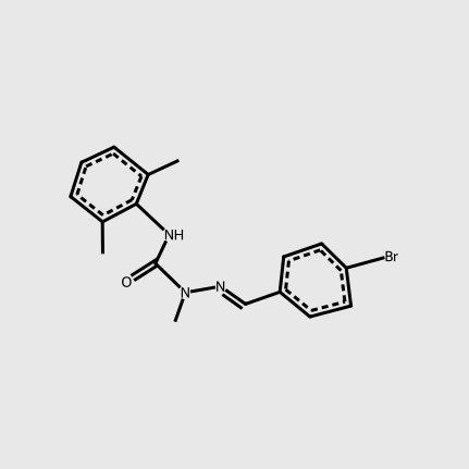 Cc1cccc(C)c1NC(=O)N(C)/N=C/c1ccc(Br)cc1